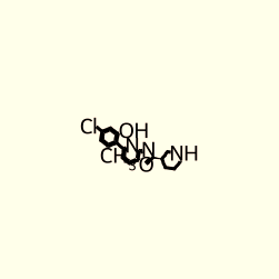 Cc1cc(Cl)cc(O)c1-c1ccc2oc([C@@H]3CCCNC3)nc2n1